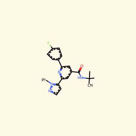 CC(C)n1nccc1-c1cc(C(=O)NC(C)(C)C#N)cc(-c2ccc(F)cc2)n1